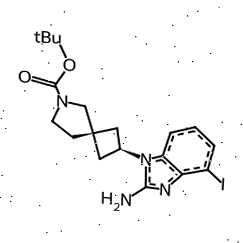 CC(C)(C)OC(=O)N1CC[C@]2(C1)C[C@H](n1c(N)nc3c(I)cccc31)C2